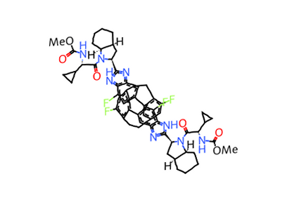 COC(=O)N[C@H](C(=O)N1[C@H](c2nc3cc(-c4cc5cc(F)c4CCc4cc(F)c(c(-c6cc(F)c7[nH]c([C@@H]8C[C@@H]9CCCC[C@@H]9N8C(=O)[C@@H](NC(=O)OC)C8CC8)nc7c6)c4)CC5)cc(F)c3[nH]2)C[C@@H]2CCCC[C@@H]21)C1CC1